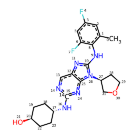 Cc1cc(F)cc(F)c1Nc1nc2cn[14c](N[C@H]3CC[C@H](O)CC3)nc2n1[C@H]1CCOC1